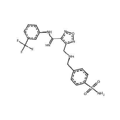 N=C(Nc1cccc(C(F)(F)F)c1)c1nonc1CNCc1ccc(S(N)(=O)=O)cc1